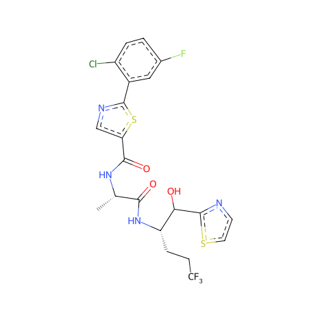 C[C@H](NC(=O)c1cnc(-c2cc(F)ccc2Cl)s1)C(=O)N[C@@H](CCC(F)(F)F)C(O)c1nccs1